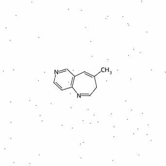 CC1=Cc2cnccc2N=CC1